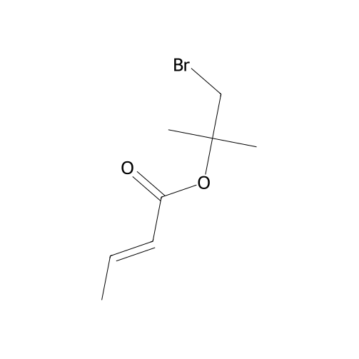 C/C=C/C(=O)OC(C)(C)CBr